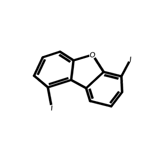 Ic1cccc2c1oc1cccc(I)c12